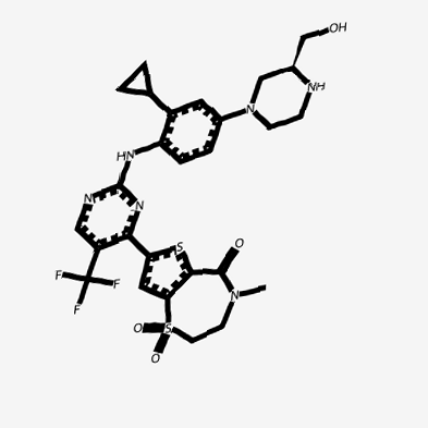 CN1CCS(=O)(=O)c2cc(-c3nc(Nc4ccc(N5CCN[C@H](CO)C5)cc4C4CC4)ncc3C(F)(F)F)sc2C1=O